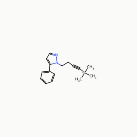 C[Si](C)(C)C#CCCn1nccc1-c1ccccc1